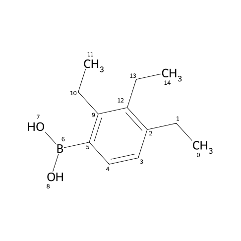 CCc1ccc(B(O)O)c(CC)c1CC